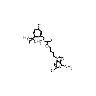 CC(C)(F)C1=CC(CNC(=O)OCCCCn2cnc3c(N)nc(Cl)nc32)=CC(Cl)C=C1